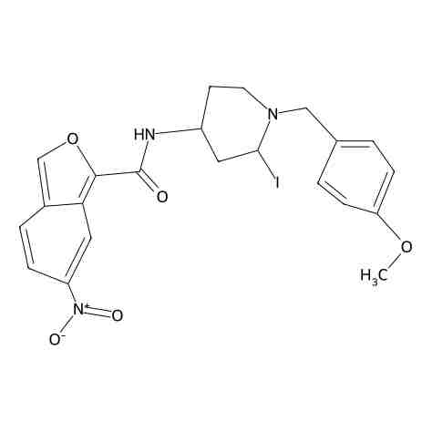 COc1ccc(CN2CCC(NC(=O)c3occ4ccc([N+](=O)[O-])cc34)CC2I)cc1